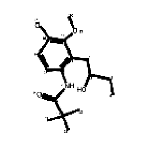 CCC(O)Cc1c(NC(=O)C(C)(C)C)ccc(Cl)c1OC